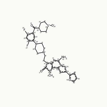 Cn1c(=O)n(CCN2CCN(c3cc(C(=O)N4CC[S+]([O-])CC4)c(F)cc3F)CC2)c2nc(N)n3nc(-c4ccco4)cc3c21